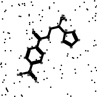 C[C@@H](COC(=O)c1ccc([N+](=O)[O-])cc1)n1cccc1